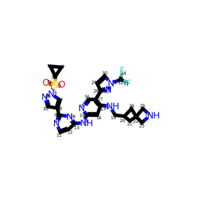 O=S(=O)(C1CC1)n1cc(-c2nccc(Nc3cc(NCC4CC5(CNC5)C4)c(-c4ccn(C(F)F)n4)cn3)n2)cn1